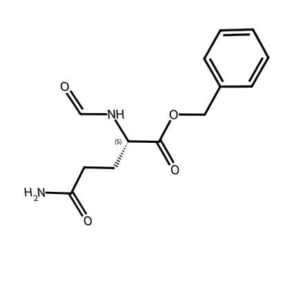 NC(=O)CC[C@H](NC=O)C(=O)OCc1ccccc1